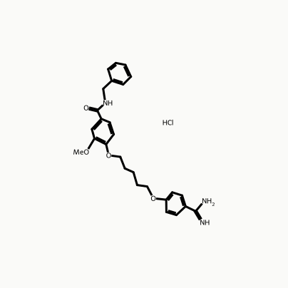 COc1cc(C(=O)NCc2ccccc2)ccc1OCCCCCOc1ccc(C(=N)N)cc1.Cl